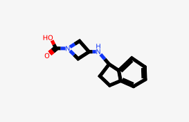 O=C(O)N1CC(NC2CCc3ccccc32)C1